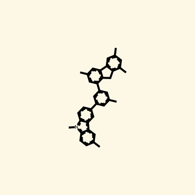 Cc1cc(-c2ccc3c(c2)c2cc(C)ccc2n3C)cc(-c2cc(C)cc3c2Cc2c(C)cc(C)cc2-3)c1